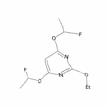 CCOc1nc(OC(C)F)cc(OC(C)F)n1